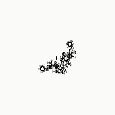 CCN(CCN(CC)C(=O)C1N=CNC1C(=O)NN[C@H](C(=O)OCc1ccccc1)C(C)C)C(=O)c1nc[nH]c1C(=O)NC(=O)[C@@H](NOCc1ccccc1)C(C)C